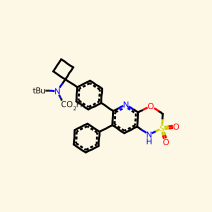 CC(C)(C)N(C(=O)O)C1(c2ccc(-c3nc4c(cc3-c3ccccc3)NS(=O)(=O)CO4)cc2)CCC1